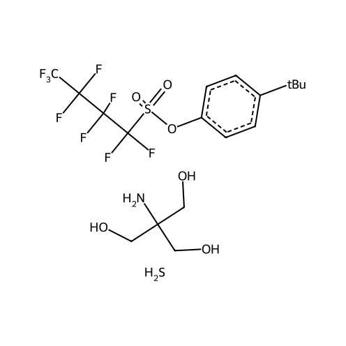 CC(C)(C)c1ccc(OS(=O)(=O)C(F)(F)C(F)(F)C(F)(F)C(F)(F)F)cc1.NC(CO)(CO)CO.S